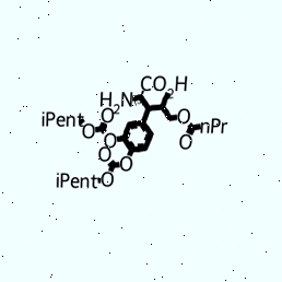 CCCC(=O)OCC(C)C(c1ccc(OC(=O)OC(C)CCC)c(OC(=O)OC(C)CCC)c1)[C@H](N)C(=O)O